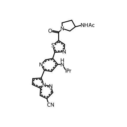 CC(=O)NC1CCN(C(=O)c2cnc(-c3cnc(-c4ccc5cc(C#N)cnn45)cc3NC(C)C)s2)C1